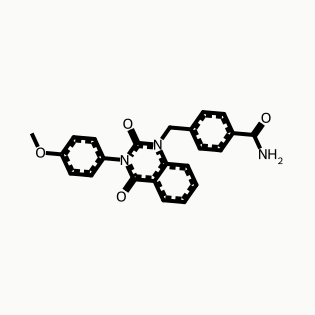 COc1ccc(-n2c(=O)c3ccccc3n(Cc3ccc(C(N)=O)cc3)c2=O)cc1